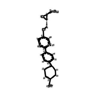 CCCC[C@@H]1O[C@H]1COc1cnc(-c2ccc(C3CCC(CCC)CC3)cc2)nc1